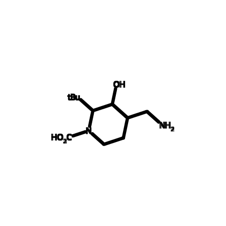 CC(C)(C)C1C(O)C(CN)CCN1C(=O)O